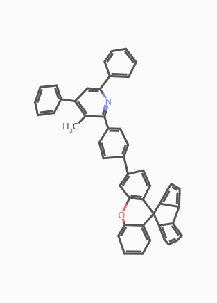 Cc1c(-c2ccccc2)cc(-c2ccccc2)nc1-c1ccc(-c2ccc3c(c2)Oc2ccccc2C32c3ccccc3-c3ccccc32)cc1